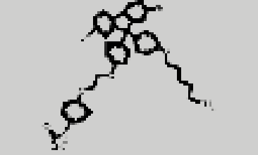 CCCCCCOc1ccc(C2(c3ccc(OCCOc4ccc(NC(C)=O)cc4)cc3)c3cc(Br)ccc3-c3ccc(Br)cc32)cc1